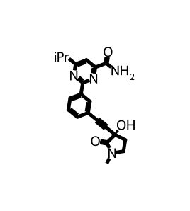 CC(C)c1cc(C(N)=O)nc(-c2cccc(C#C[C@]3(O)CCN(C)C3=O)c2)n1